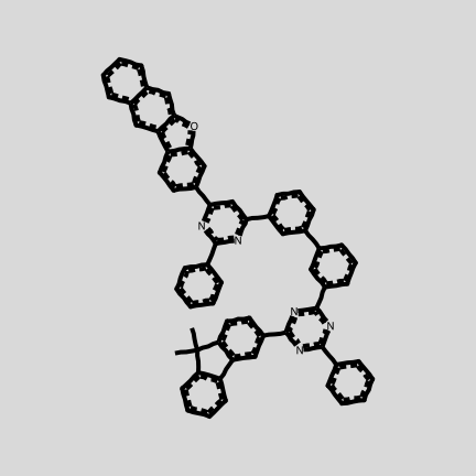 CC1(C)c2ccccc2-c2cc(-c3nc(-c4ccccc4)nc(-c4cccc(-c5cccc(-c6cc(-c7ccc8c(c7)oc7cc9ccccc9cc78)nc(-c7ccccc7)n6)c5)c4)n3)ccc21